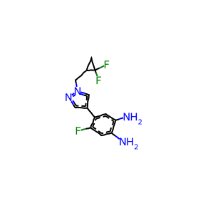 Nc1cc(F)c(-c2cnn(CC3CC3(F)F)c2)cc1N